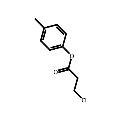 Cc1ccc(OC(=O)CCCl)cc1